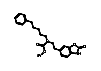 CC(C)OC(=O)N(CCCCCc1ccccc1)CCc1ccc2[nH]c(=O)oc2c1